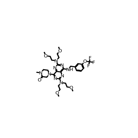 COCCN(CCOC)c1nc(N2CCN(C)C(=O)C2)c2nc(N(CCOC)CCOC)nc(NCc3cccc(OC(F)(F)F)c3)c2n1